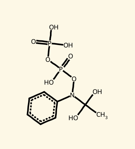 CC(O)(O)N(OP(=O)(O)OP(=O)(O)O)c1ccccc1